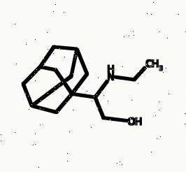 CCNC(CO)C12CC3CC(CC(C3)C1)C2